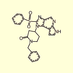 O=C1CC(n2c(S(=O)(=O)c3ccccc3)nc3cnc4[nH]ccc4c32)CCN1Cc1ccccc1